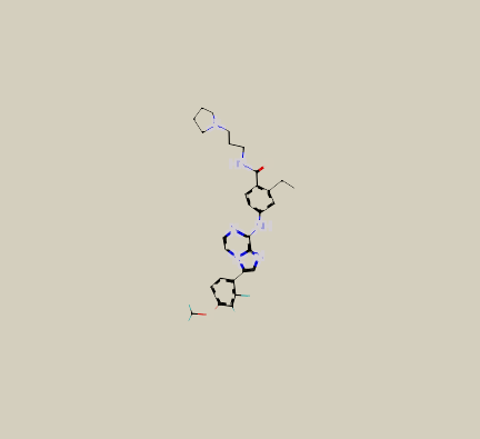 CCc1cc(Nc2nccn3c(-c4ccc(OC(F)F)c(F)c4F)cnc23)ccc1C(=O)NCCCN1CCCC1